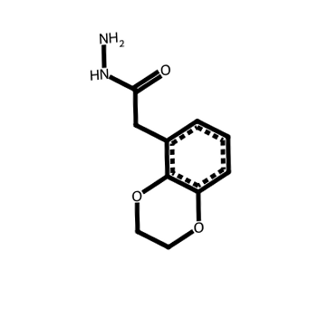 NNC(=O)Cc1cccc2c1OCCO2